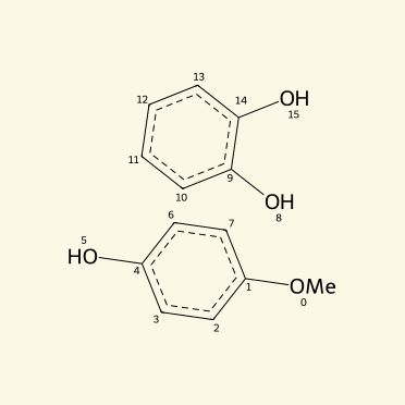 COc1ccc(O)cc1.Oc1ccccc1O